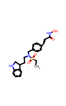 CCS(=O)(=O)N(CCC1CNc2ccccc21)Cc1ccc(/C=C/C(=O)NO)cc1